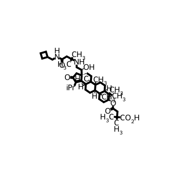 CC(C)C1=C2[C@H]3CC[C@@H]4[C@@]5(C)CC[C@H](OC(=O)CC(C)(C)C(=O)O)C(C)(C)[C@@H]5CC[C@@]4(C)[C@]3(C)CC[C@@]2([C@@H](O)CNC(C)(C)CC(=O)NCC2CCC2)CC1=O